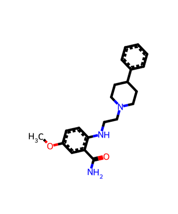 COc1ccc(NCCN2CCC(c3ccccc3)CC2)c(C(N)=O)c1